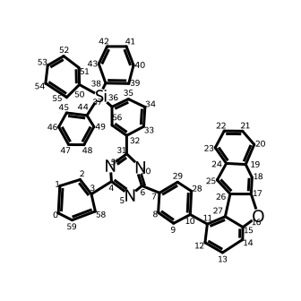 c1ccc(-c2nc(-c3ccc(-c4cccc5oc6cc7ccccc7cc6c45)cc3)nc(-c3cccc([Si](c4ccccc4)(c4ccccc4)c4ccccc4)c3)n2)cc1